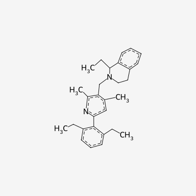 CCc1cccc(CC)c1-c1cc(C)c(CN2CCc3ccccc3C2CC)c(C)n1